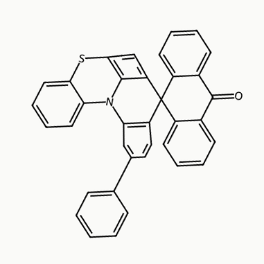 O=C1c2ccccc2C2(c3ccccc31)c1ccc(-c3ccccc3)cc1N1c3ccccc3Sc3cccc2c31